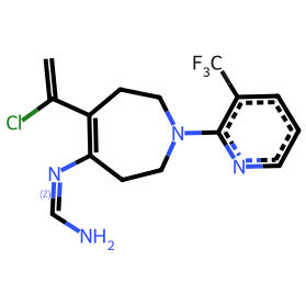 C=C(Cl)C1=C(/N=C\N)CCN(c2ncccc2C(F)(F)F)CC1